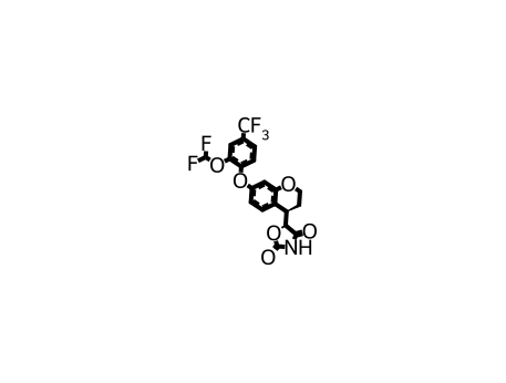 O=C1NC(=O)[C@@H]([C@@H]2CCOc3cc(Oc4ccc(C(F)(F)F)cc4OC(F)F)ccc32)O1